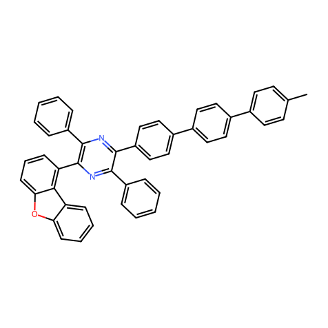 Cc1ccc(-c2ccc(-c3ccc(-c4nc(-c5ccccc5)c(-c5cccc6oc7ccccc7c56)nc4-c4ccccc4)cc3)cc2)cc1